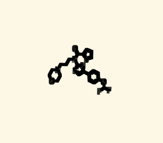 O=C(c1cccs1)N(CCCN1CCOCC1)c1nc(-c2ccc(OC(F)F)cc2)cs1